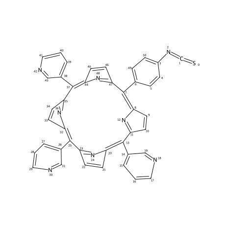 S=C=Nc1ccc(C2=C3C=CC(=N3)C(c3cccnc3)=C3C=CC(=N3)C(c3cccnc3)=C3C=CC(=N3)C(c3cccnc3)=C3C=CC2=N3)cc1